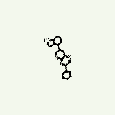 c1ccc(-c2cnc3cc(-c4cccc5[nH]ccc45)cnc3n2)cc1